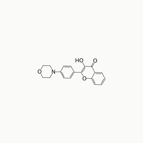 O=c1c(O)c(-c2ccc(N3CCOCC3)cc2)oc2ccccc12